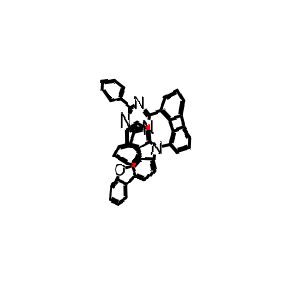 c1ccc(-c2nc(-c3ccccc3)nc(-c3cccc4c3-c3c-4cccc3-n3c4ccccc4c4c5oc6ccccc6c5ccc43)n2)cc1